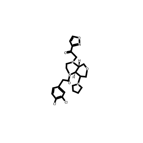 O=C(CN1CCN(C(=O)Cc2ccc(Cl)c(Cl)c2)[C@@H]2C(N3CCCC3)COC[C@H]21)c1ccon1